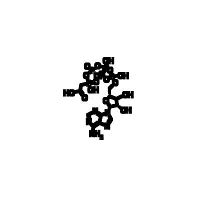 Nc1ncnc2c1ncn2[C@@H]1O[C@H](COP(=O)(O)OP(=O)(O)OP(=O)(O)OP(=O)(O)CC(=O)O)C(O)[C@@H]1O